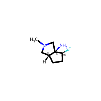 CN1C[C@H]2CC[C@H](F)[C@@]2(N)C1